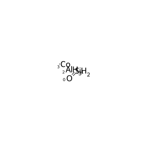 O=[SiH2].[AlH3].[Co]